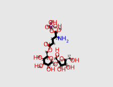 N[C@@H](CCC(=O)OC[C@H]1O[C@H](O[C@]2(CO)O[C@H](CO)[C@@H](O)[C@@H]2O)[C@H](O)[C@@H](O)[C@@H]1O)C(=O)OP(=O)(O)O